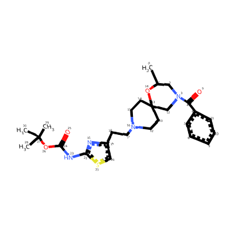 CC1CN(C(=O)c2ccccc2)CC2(CCN(CCc3csc(NC(=O)OC(C)(C)C)n3)CC2)O1